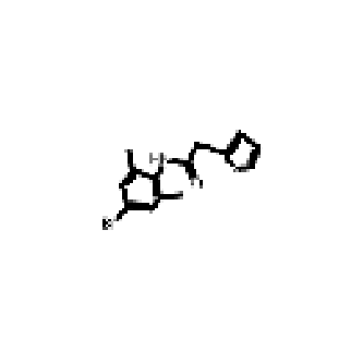 Cc1cc(Br)cc(C)c1NC(=O)Cc1cccs1